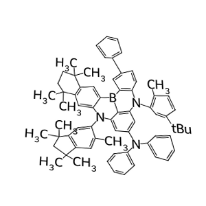 Cc1ccc(C(C)(C)C)cc1N1c2ccc(-c3ccccc3)cc2B2c3cc4c(cc3N(c3cc5c(cc3C)C(C)(C)CC5(C)C)c3cc(N(c5ccccc5)c5ccccc5)cc1c32)C(C)(C)CCC4(C)C